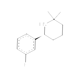 CC1(C)CCC[C@@H](c2cc[c]c(F)c2)N1